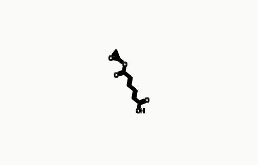 O=C(O)C=CC=CC(=O)OC1=CO1